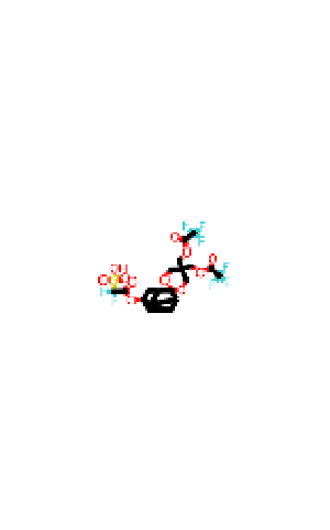 O=C(OCC1(COC(=O)C(F)(F)F)COC2(OC1)C1CC3CC2CC(OC(=O)C(F)(F)S(=O)(=O)O)(C3)C1)C(F)(F)F